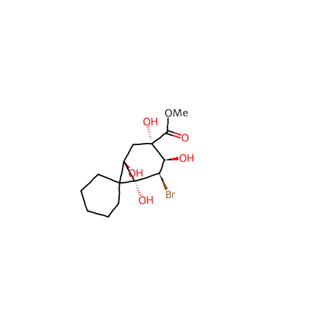 COC(=O)[C@]1(O)C[C@@]2(O)C3(CCCCC3)[C@]2(O)[C@H](Br)[C@@H]1O